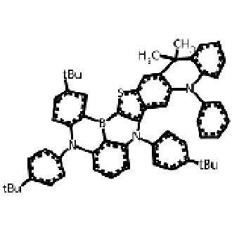 CC(C)(C)c1ccc(N2c3ccc(C(C)(C)C)cc3B3c4sc5cc6c(cc5c4N(c4ccc(C(C)(C)C)cc4)c4cccc2c43)N(c2ccccc2)c2ccccc2C6(C)C)cc1